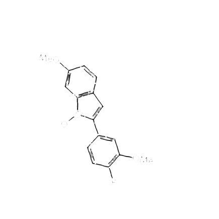 COc1ccc2cc(-c3ccc(F)c(OC)c3)[s+]([O-])c2c1